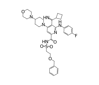 N=C(c1c(N2CCC(N3CCOCC3)CC2)cc(C(=O)NS(=O)(=O)CCOCc2ccccc2)nc1Nc1ccc(F)cc1)C1CCC1